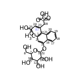 Cc1cc(O[C@@H]2OC(CO)[C@@H](O)C(O)[C@@H]2O)c2ccccc2c1/C(=C\C(=O)O)CS(=O)(=O)O